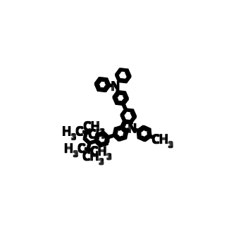 Cc1ccc(-n2c3c(c4cc(-c5ccc(C(CC(C)(C)C)C(C)(C)C)cc5)ccc42)CC(c2ccc(N(C4=CC=CCC4)c4ccccc4)cc2)C=C3)cc1